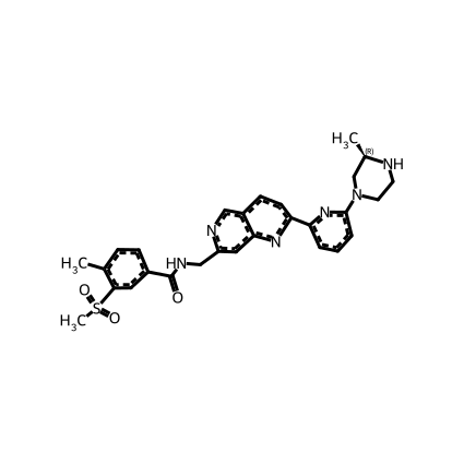 Cc1ccc(C(=O)NCc2cc3nc(-c4cccc(N5CCN[C@H](C)C5)n4)ccc3cn2)cc1S(C)(=O)=O